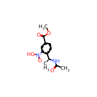 COC(=O)c1ccc([C@H](C)NC(C)=O)c([N+](=O)O)c1